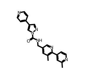 Cc1cc(-c2ncc(CNC(=O)n3cc(-c4ccncc4)cn3)cc2C)ccn1